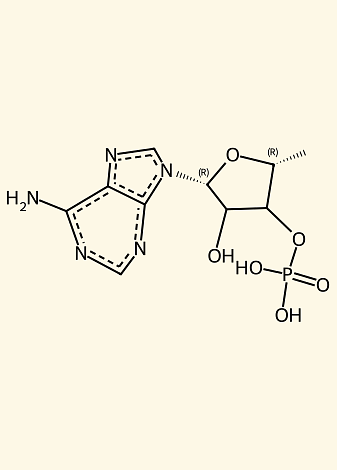 C[C@H]1O[C@@H](n2cnc3c(N)ncnc32)C(O)C1OP(=O)(O)O